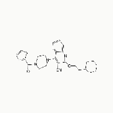 N#Cc1c(OCCC2CCCCC2)nc2ccccc2c1N1CCN(C(=O)c2cccs2)CC1